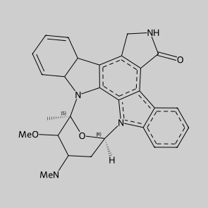 CNC1C[C@H]2O[C@@](C)(C1OC)N1c3c(c4c(c5c6ccccc6n2c35)C(=O)NC4)C2C=CC=CC21